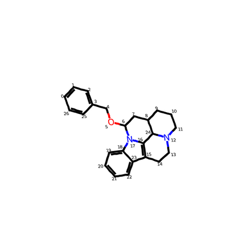 c1ccc(COC2CC3CCCN4CCc5c(n2c2ccccc52)C34)cc1